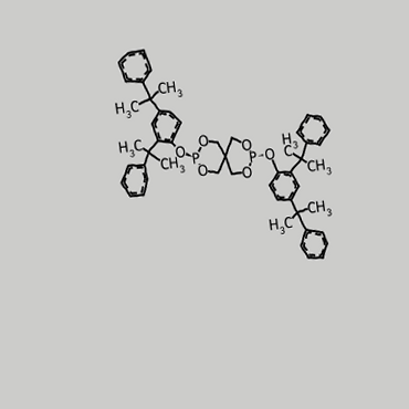 CC(C)(c1ccccc1)c1ccc(O[P@]2OCC3(CO[P@@](Oc4ccc(C(C)(C)c5ccccc5)cc4C(C)(C)c4ccccc4)OC3)CO2)c(C(C)(C)c2ccccc2)c1